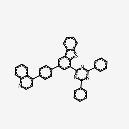 c1ccc(-c2nc(-c3ccccc3)nc(-c3cc(-c4ccc(-c5ccnc6ccccc56)cc4)cc4c3sc3ccccc34)n2)cc1